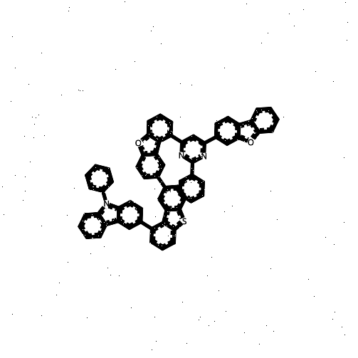 c1ccc(-c2nc(-c3ccc4c(c3)oc3ccccc34)cc(-c3cccc4oc5ccc(-c6ccc7sc8cccc(-c9ccc%10c(c9)c9ccccc9n%10-c9ccccc9)c8c7c6)cc5c34)n2)cc1